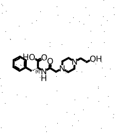 O=C(CN1CCN(CCO)CC1)N[C@H](Cc1ccccc1)C(=O)O